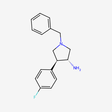 N[C@H]1CN(Cc2ccccc2)C[C@@H]1c1ccc(F)cc1